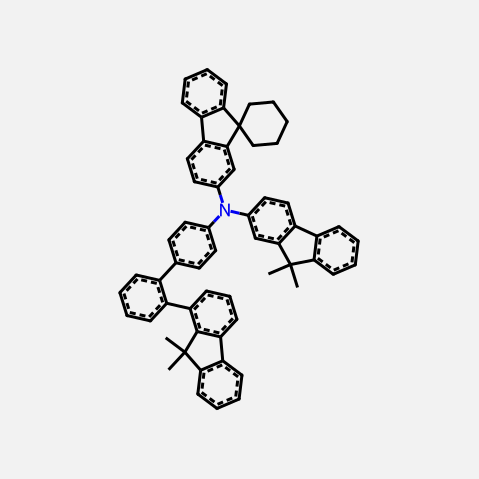 CC1(C)c2ccccc2-c2ccc(N(c3ccc(-c4ccccc4-c4cccc5c4C(C)(C)c4ccccc4-5)cc3)c3ccc4c(c3)C3(CCCCC3)c3ccccc3-4)cc21